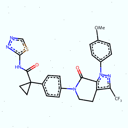 COc1ccc(-n2nc(C(F)(F)F)c3c2C(=O)N(c2ccc(C4(C(=O)Nc5nncs5)CC4)cc2)CC3)cc1